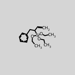 C=CC(Cc1ccccc1)[Si](OCC)(OCC)OCC